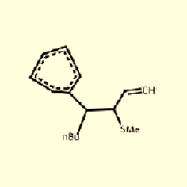 [CH]=CC(SC)C(CCCC)c1ccccc1